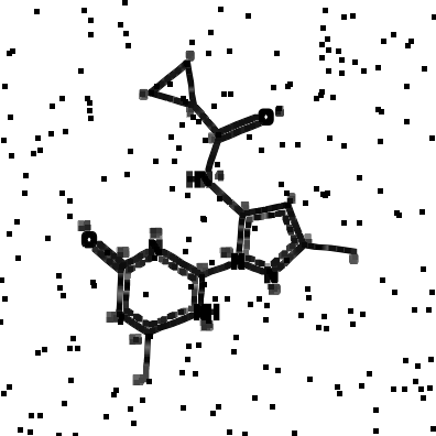 Cc1cc(NC(=O)C2CC2)n(-c2nc(=O)cc(C)[nH]2)n1